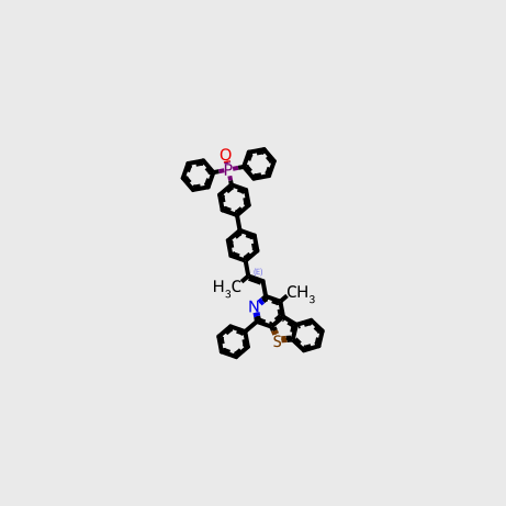 C/C(=C\c1nc(-c2ccccc2)c2sc3ccccc3c2c1C)c1ccc(-c2ccc(P(=O)(c3ccccc3)c3ccccc3)cc2)cc1